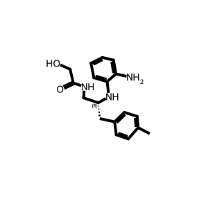 Cc1ccc(C[C@H](CNC(=O)CO)Nc2ccccc2N)cc1